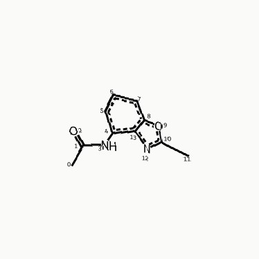 CC(=O)Nc1cccc2oc(C)nc12